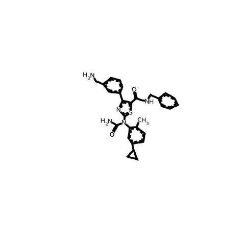 Cc1ccc(C2CC2)cc1N(C(N)=O)c1nc(-c2cccc(CN)c2)c(C(=O)NCc2ccccc2)s1